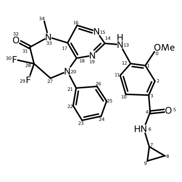 COc1cc(C(=O)NC2CC2)ccc1Nc1ncc2c(n1)N(c1ccccc1)CC(F)(F)C(=O)N2C